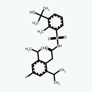 Cc1c(C(C)(C)O)cccc1S(=O)(=O)NC(=O)Cc1c(C(C)C)cc(F)cc1C(C)C